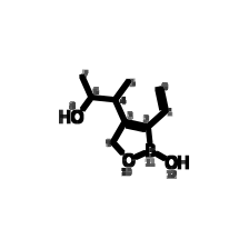 C=CC1=C(C(C)C(C)O)COB1O